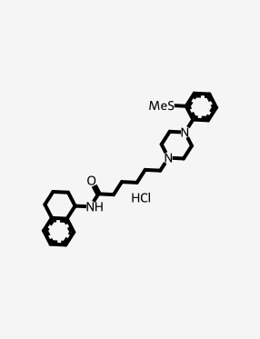 CSc1ccccc1N1CCN(CCCCCC(=O)NC2CCCc3ccccc32)CC1.Cl